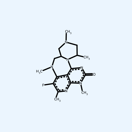 Cc1nc2c3c(nc(=O)n2C)N2C(C)CN(C)CC2CN(C)c3c1F